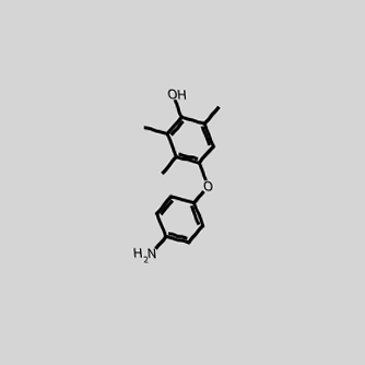 Cc1cc(Oc2ccc(N)cc2)c(C)c(C)c1O